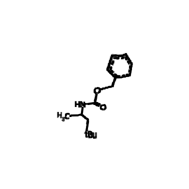 CC(CC(C)(C)C)NC(=O)OCc1ccccc1